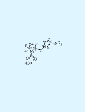 CC(C)(C)OC(=O)N1[C@H](Cn2ccc([N+](=O)[O-])n2)COC1(C)C